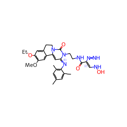 CCOc1cc2c(cc1OC)-c1c/c(=N\c3c(C)cc(C)cc3C)n(CCNC(=O)/C(=C/NO)N=N)c(=O)n1CC2